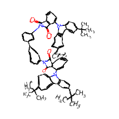 Cc1ccc2c(c1)c1cc(C(C)(C)C)ccc1n2-c1cccc2c1C(=O)N(c1cccc(-c3cccc(N4C(=O)c5cccc(-n6c7ccc(C(C)(C)C)cc7c7cc(C(C)(C)C)ccc76)c5C4=O)c3)c1)C2=O